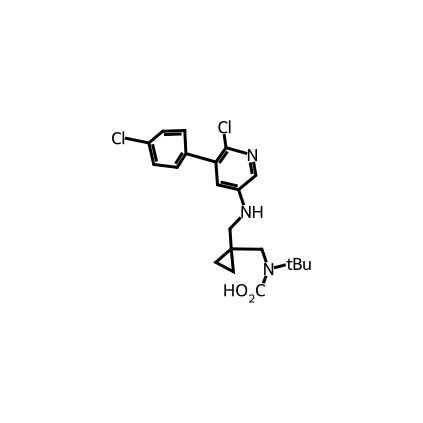 CC(C)(C)N(CC1(CNc2cnc(Cl)c(-c3ccc(Cl)cc3)c2)CC1)C(=O)O